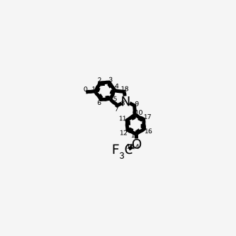 Cc1ccc2c(c1)CN(Cc1ccc(OC(F)(F)F)cc1)C2